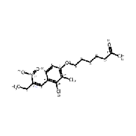 CC/C(=C/c1ccc(OCCCCCC(=O)O)c(Cl)c1Cl)[N+](=O)[O-]